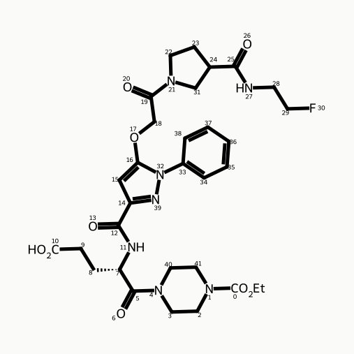 CCOC(=O)N1CCN(C(=O)[C@H](CCC(=O)O)NC(=O)c2cc(OCC(=O)N3CCC(C(=O)NCCF)C3)n(-c3ccccc3)n2)CC1